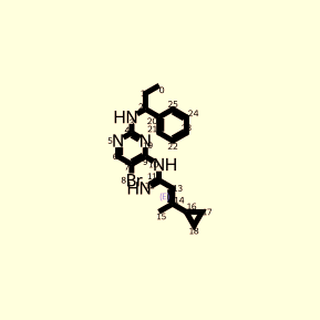 CCC(Nc1ncc(Br)c(NC(=N)/C=C(\C)C2CC2)n1)c1ccccc1